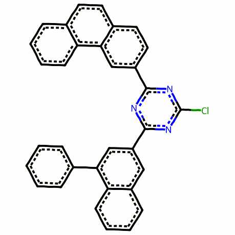 Clc1nc(-c2cc(-c3ccccc3)c3ccccc3c2)nc(-c2ccc3ccc4ccccc4c3c2)n1